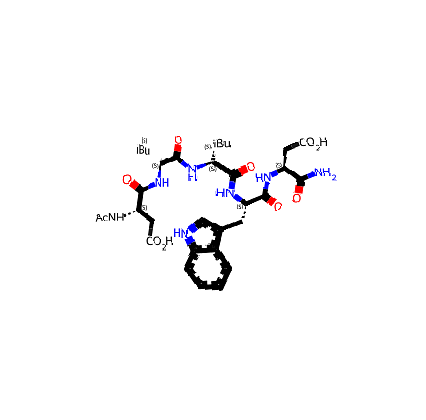 CC[C@H](C)[C@H](NC(=O)[C@H](CC(=O)O)NC(C)=O)C(=O)N[C@H](C(=O)N[C@@H](Cc1c[nH]c2ccccc12)C(=O)N[C@@H](CC(=O)O)C(N)=O)[C@@H](C)CC